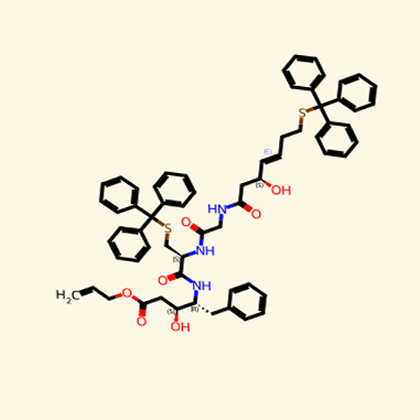 C=CCOC(=O)C[C@H](O)[C@@H](Cc1ccccc1)NC(=O)[C@@H](CSC(c1ccccc1)(c1ccccc1)c1ccccc1)NC(=O)CNC(=O)C[C@H](O)/C=C/CCSC(c1ccccc1)(c1ccccc1)c1ccccc1